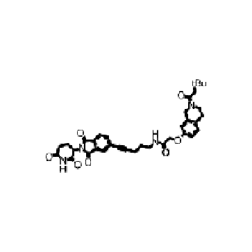 CC(C)(C)CC(=O)N1CCc2ccc(OCC(=O)NCCCC#Cc3ccc4c(c3)C(=O)N(C3CCC(=O)NC3=O)C4=O)cc2C1